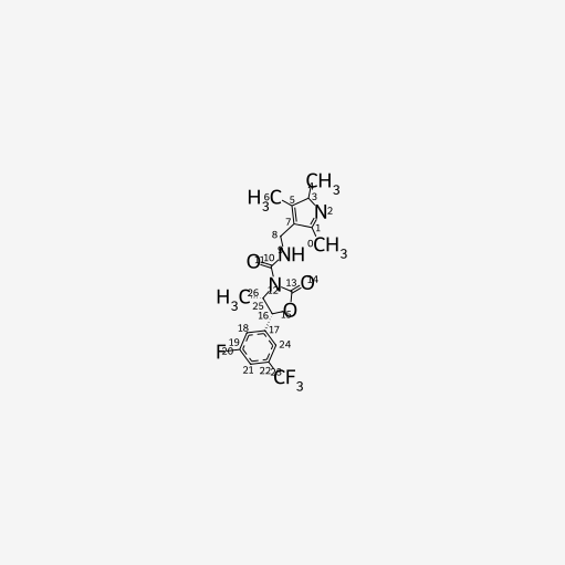 CC1=NC(C)C(C)=C1CNC(=O)N1C(=O)O[C@H](c2cc(F)cc(C(F)(F)F)c2)[C@@H]1C